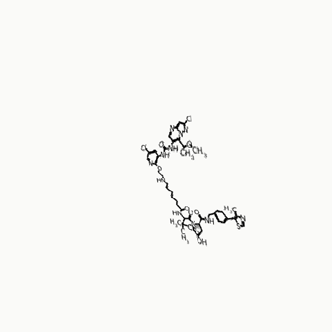 COC(C)c1c(NC(=O)Nc2cc(Cl)cnc2OCCNCCCCCCC(=O)NC(C(=O)N2C[C@@H](O)C[C@@H]2C(=O)NCc2ccc(-c3scnc3C)cc2)C(C)(C)C)cnc2cc(Cl)nn12